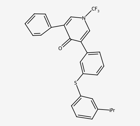 CC(C)c1cccc(Sc2cccc(-c3cn(C(F)(F)F)cc(-c4ccccc4)c3=O)c2)c1